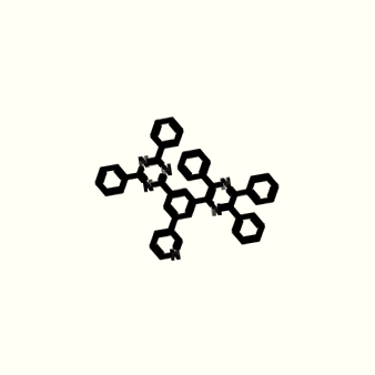 c1ccc(-c2nc(-c3ccccc3)nc(-c3cc(-c4cccnc4)cc(-c4nc(-c5ccccc5)c(-c5ccccc5)nc4-c4ccccc4)c3)n2)cc1